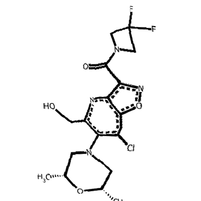 C[C@@H]1CN(c2c(CO)nc3c(C(=O)N4CC(F)(F)C4)noc3c2Cl)C[C@H](C)O1